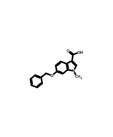 Cn1cc(C(=O)O)c2ccc(OCc3ccccc3)cc21